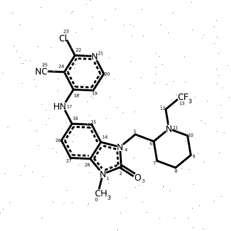 Cn1c(=O)n(CC2CCCCN2CC(F)(F)F)c2cc(Nc3ccnc(Cl)c3C#N)ccc21